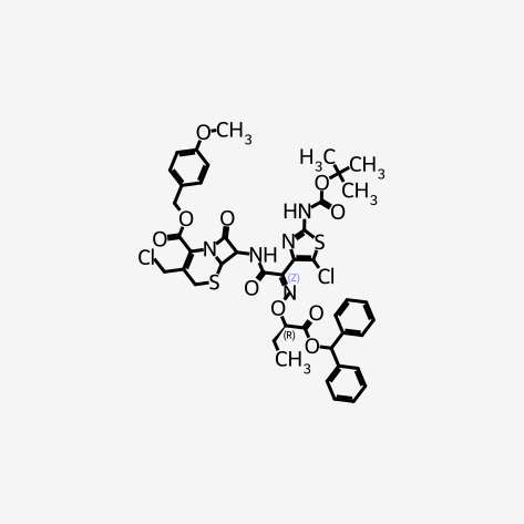 CC[C@@H](O/N=C(\C(=O)NC1C(=O)N2C(C(=O)OCc3ccc(OC)cc3)=C(CCl)CSC12)c1nc(NC(=O)OC(C)(C)C)sc1Cl)C(=O)OC(c1ccccc1)c1ccccc1